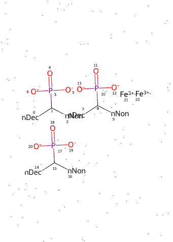 CCCCCCCCCCC(CCCCCCCCC)P(=O)([O-])[O-].CCCCCCCCCCC(CCCCCCCCC)P(=O)([O-])[O-].CCCCCCCCCCC(CCCCCCCCC)P(=O)([O-])[O-].[Fe+3].[Fe+3]